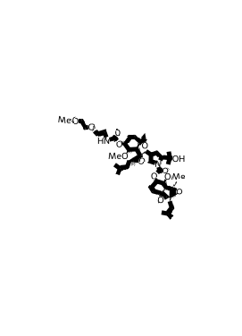 COCCOCCNC(=O)O[C@@H]1CCC2(CO2)[C@@H]([C@@]2(CC3CC(C(C)(C)O)N(C(=O)O[C@@H]4CCC5(CO5)[C@@H]([C@@]5(C)O[C@@H]5CC=C(C)C)[C@@H]4OC)C3)O[C@@H]2CC=C(C)C)[C@@H]1OC